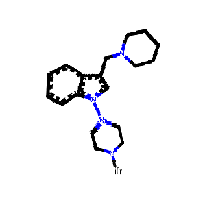 CC(C)N1CCN(n2cc(CN3CCCCC3)c3ccc[c]c32)CC1